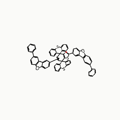 c1ccc(-c2ccc3oc4ccc(-c5cc6c(s5)C5(c7ccccc7Sc7ccccc75)c5cc(-c7ccc8oc9ccc(-c%10ccccc%10)cc9c8c7)sc5C65c6ccccc6Sc6ccccc65)cc4c3c2)cc1